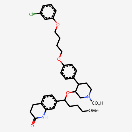 COCCCC(OC1CN(C(=O)O)CCC1c1ccc(OCCCCOc2cccc(Cl)c2)cc1)c1ccc2c(c1)NC(=O)CC2